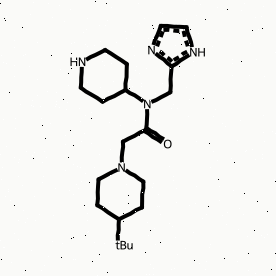 CC(C)(C)C1CCN(CC(=O)N(Cc2ncc[nH]2)C2CCNCC2)CC1